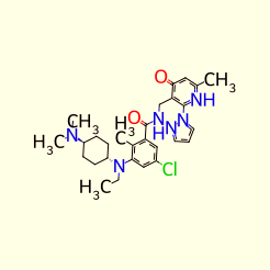 CCN(c1cc(Cl)cc(C(=O)NCc2c(-n3cccn3)[nH]c(C)cc2=O)c1C)[C@H]1CC[C@H](N(C)C)CC1